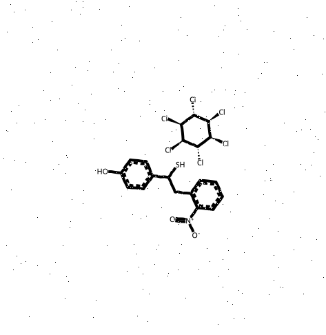 Cl[C@H]1[C@H](Cl)[C@@H](Cl)[C@@H](Cl)[C@H](Cl)[C@H]1Cl.O=[N+]([O-])c1ccccc1CC(S)c1ccc(O)cc1